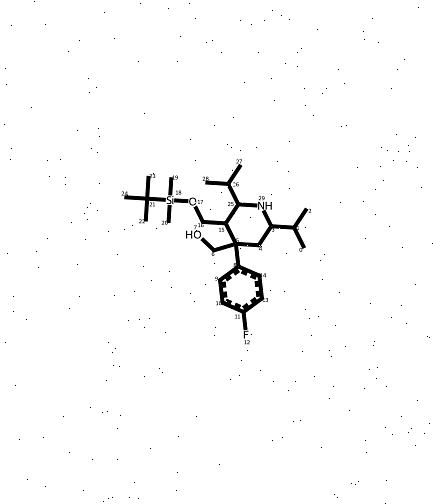 CC(C)C1CC(CO)(c2ccc(F)cc2)C(CO[Si](C)(C)C(C)(C)C)C(C(C)C)N1